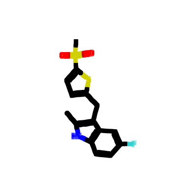 Cc1[nH]c2ccc(F)cc2c1Cc1ccc(S(C)(=O)=O)s1